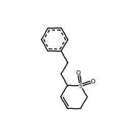 O=S1(=O)CCC=CC1CCc1ccccc1